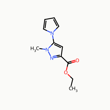 CCOC(=O)c1cc(-n2cccc2)n(C)n1